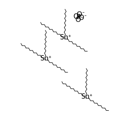 CCCCCCCCCCC[CH2][Sn+]([CH2]CCCCCCCCCCC)[CH2]CCCCCCCCCCC.CCCCCCCCCCC[CH2][Sn+]([CH2]CCCCCCCCCCC)[CH2]CCCCCCCCCCC.CCCCCCCCCCC[CH2][Sn+]([CH2]CCCCCCCCCCC)[CH2]CCCCCCCCCCC.O=P([O-])([O-])[O-]